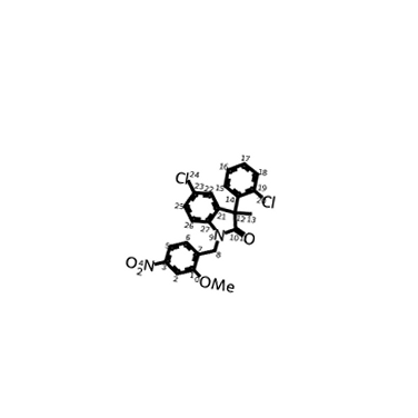 COc1cc([N+](=O)[O-])ccc1CN1C(=O)C(C)(c2ccccc2Cl)c2cc(Cl)ccc21